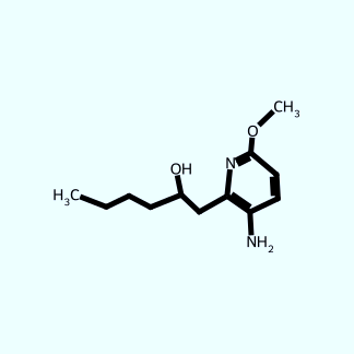 CCCCC(O)Cc1nc(OC)ccc1N